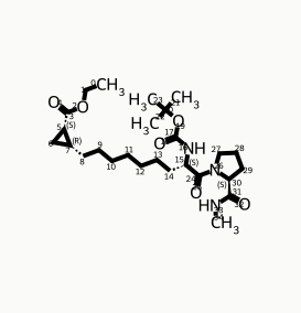 CCOC(=O)[C@H]1C[C@H]1CCCCCCC[C@H](NC(=O)OC(C)(C)C)C(=O)N1CCC[C@H]1C(=O)NC